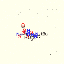 CN(C)C(=O)/C=C/CC[C@H](NC(=O)OCC1CCOCC1)C(=O)Nc1cccn(Cc2nc3c(CC(C)(C)C)cccc3n2C(=O)O)c1=O